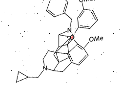 COc1cccc(Oc2c(OC)ccc3c2C24CCN(CC5CC5)C(C3)C23CC2C5C4C2(CN5Cc2ccccc2)C3)c1